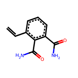 C=Cc1cccc(C(N)=O)c1C(N)=O